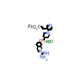 CCOC(=O)/C=C/c1cnccc1N1CCC(COc2ccc3c(c2)CN(C(=N)N)CC3)CC1.Cl.Cl